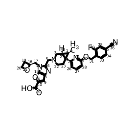 C[C@H]1[C@H]2CN(Cc3nc4cc(C(=O)O)oc4n3C[C@@H]3CCO3)CC[C@]21c1cccc(OCc2ccc(C#N)cc2F)n1